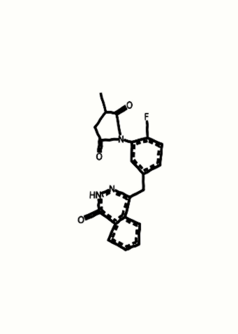 CC1CC(=O)N(c2cc(Cc3n[nH]c(=O)c4ccccc34)ccc2F)C1=O